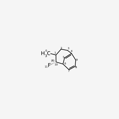 CC1CCC2=CC(C=CC2)[C@@H]1F